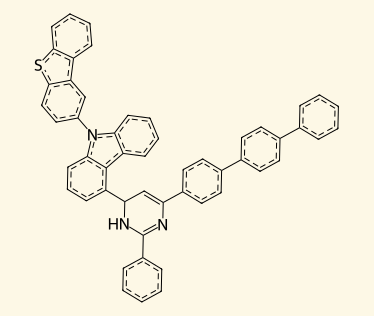 C1=C(c2ccc(-c3ccc(-c4ccccc4)cc3)cc2)N=C(c2ccccc2)NC1c1cccc2c1c1ccccc1n2-c1ccc2sc3ccccc3c2c1